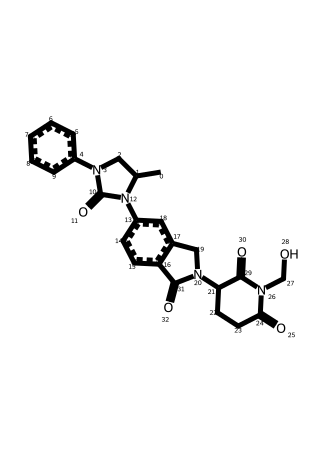 CC1CN(c2ccccc2)C(=O)N1c1ccc2c(c1)CN(C1CCC(=O)N(CO)C1=O)C2=O